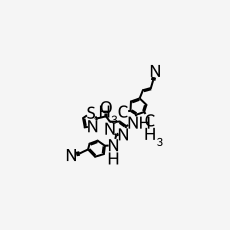 Cc1cc(/C=C/C#N)cc(C)c1Nc1cc(C(=O)c2nccs2)nc(Nc2ccc(C#N)cc2)n1